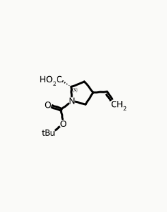 C=CC1C[C@@H](C(=O)O)N(C(=O)OC(C)(C)C)C1